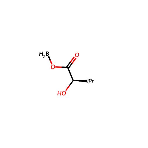 BOC(=O)[C@H](O)C(C)C